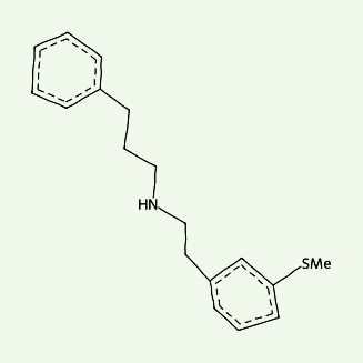 CSc1cccc(CCNCCCc2ccccc2)c1